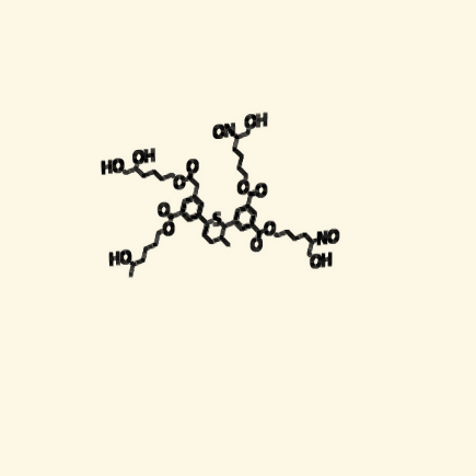 CC(O)CCCCOC(=O)c1cc(CC(=O)OCCCCC(O)CO)cc(C2=CCC(C)C(c3cc(C(=O)OCCCCC(CO)N=O)cc(C(=O)OCCCCC(CO)N=O)c3)S2)c1